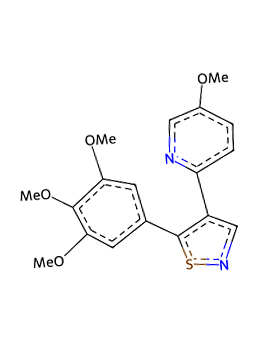 COc1ccc(-c2cnsc2-c2cc(OC)c(OC)c(OC)c2)nc1